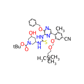 Cc1cc(C#N)cc(OCOCC[Si](C)(C)C)c1-c1cnc(OCc2ccccc2)c(NC(=S)N[C@@H]2C[C@H](O)CN(C(=O)OC(C)(C)C)C2)n1